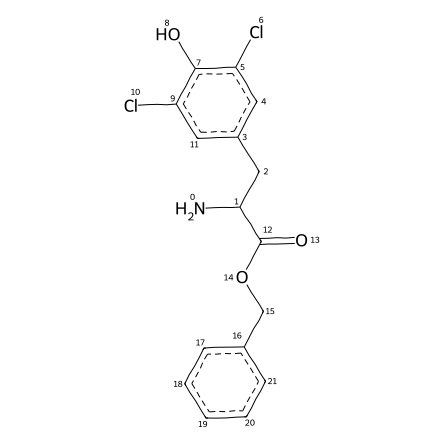 NC(Cc1cc(Cl)c(O)c(Cl)c1)C(=O)OCc1ccccc1